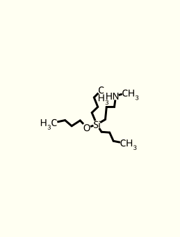 CCCCO[Si](CCCC)(CCCC)CCCNC